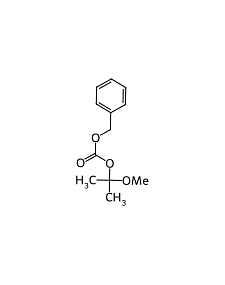 COC(C)(C)OC(=O)OCc1ccccc1